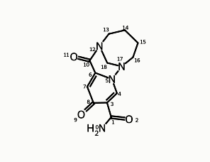 NC(=O)c1cn2c(cc1=O)C(=O)N1CCCCN2C1